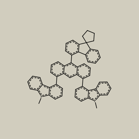 Cp1c2ccccc2c2c(-c3cccc4c(-c5cccc6c5-c5ccccc5C65CCCC5)c5cccc(-c6cccc7c6c6ccccc6p7C)c5cc34)cccc21